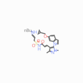 CCCCNC=CCS(=O)(=O)NC(=O)/C=C/c1c(C)nn(C)c1-n1ccc2ccc(OCC3CC3)cc21